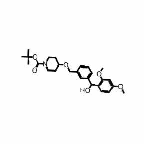 COc1ccc(C(O)c2cccc(COC3CCN(C(=O)OC(C)(C)C)CC3)c2)c(OC)c1